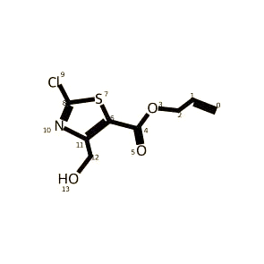 C=CCOC(=O)c1sc(Cl)nc1CO